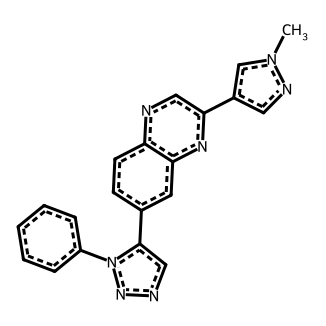 Cn1cc(-c2cnc3ccc(-c4cnnn4-c4ccccc4)cc3n2)cn1